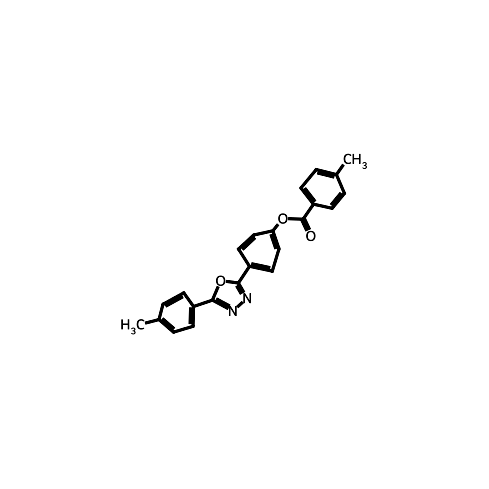 Cc1ccc(C(=O)Oc2ccc(-c3nnc(-c4ccc(C)cc4)o3)cc2)cc1